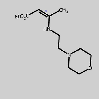 CCOC(=O)/C=C(/C)NCCN1CCOCC1